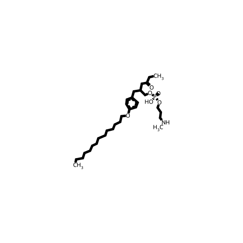 CCCCCCCCCCCCCCOc1ccc(CC(COP(=O)(O)OCCCNC)CC(=O)CC)cc1